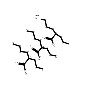 CCCCC(CCC)C(=O)[O-].CCCCC(CCC)C(=O)[O-].CCCCC(CCC)C(=O)[O-].[Y+3]